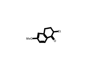 CCC1CCc2cc(OC)ccc2C1=O